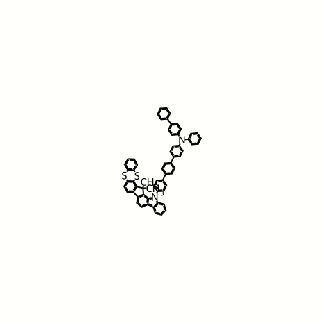 CC1(C)c2c(ccc3c2Sc2ccccc2S3)-c2ccc3c4ccccc4n(-c4ccc(-c5ccc(-c6ccc(N(c7ccccc7)c7ccc(-c8ccccc8)cc7)cc6)cc5)cc4)c3c21